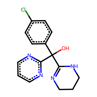 OC(C1=NCCCN1)(c1ccc(Cl)cc1)c1ncccn1